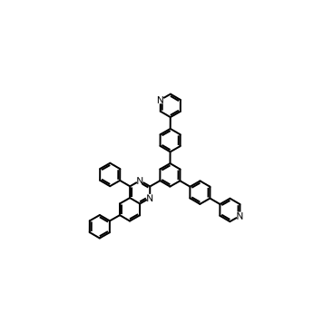 c1ccc(-c2ccc3nc(-c4cc(-c5ccc(-c6ccncc6)cc5)cc(-c5ccc(-c6cccnc6)cc5)c4)nc(-c4ccccc4)c3c2)cc1